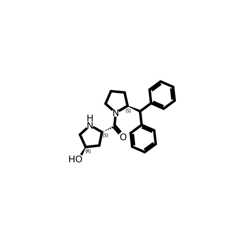 O=C([C@@H]1C[C@@H](O)CN1)N1CCC[C@H]1C(c1ccccc1)c1ccccc1